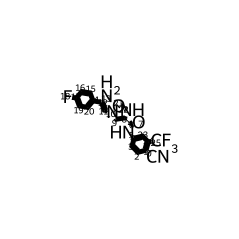 N#Cc1ccc(NC(=O)[C@@H]2CN(/C=C(\N)c3ccc(F)cc3)ON2)cc1C(F)(F)F